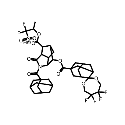 CC(OC(=O)C1C2CC3C1C(=O)N(C(=O)C14CC5CC(CC(C5)C1)C4)C3C2OC(=O)C12CC3CC(C1)C1(OCC(F)(F)C(F)(F)CO1)C(C3)C2)C(F)(F)S(=O)(=O)O